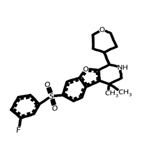 CC1(C)CNC(C2CCOCC2)c2oc3cc(S(=O)(=O)c4cccc(F)c4)ccc3c21